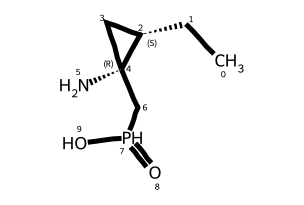 CC[C@H]1C[C@]1(N)C[PH](=O)O